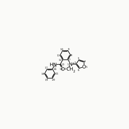 C=[N+](c1ccoc1)c1ccccc1C(=O)Nc1ccccc1